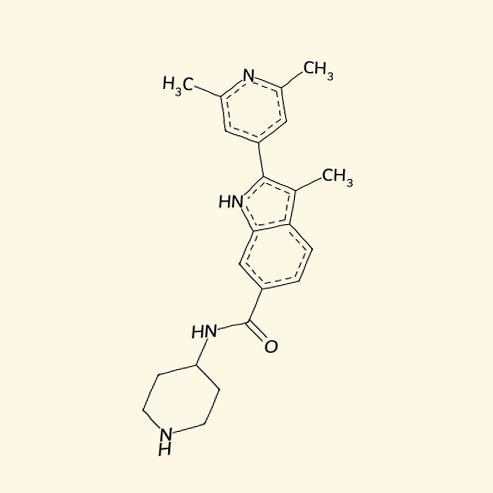 Cc1cc(-c2[nH]c3cc(C(=O)NC4CCNCC4)ccc3c2C)cc(C)n1